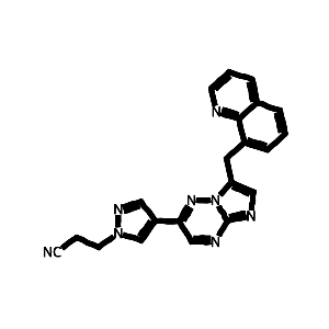 N#CCCn1cc(-c2cnc3ncc(Cc4cccc5cccnc45)n3n2)cn1